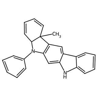 CC12C=CC=CC1N(c1ccccc1)c1cc3[nH]c4ccccc4c3cc12